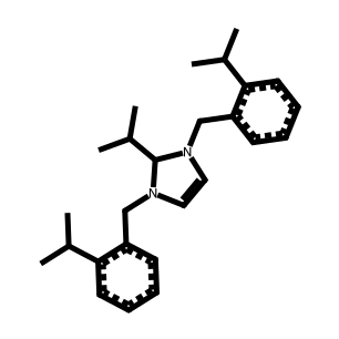 CC(C)c1ccccc1CN1C=CN(Cc2ccccc2C(C)C)C1C(C)C